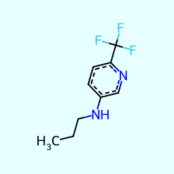 CCCNc1ccc(C(F)(F)F)nc1